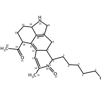 CCCCCCC1C2CC3=C4C(=C2C=C(C)[N+]1=O)C(C(C)=O)CCC4NC3